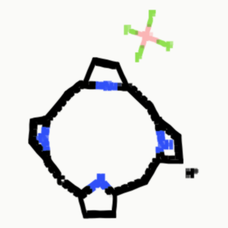 C1=Cc2cc3ccc(cc4nc(cc5ccc(cc1n2)[nH]5)C=C4)[nH]3.F[B-](F)(F)F.[H+]